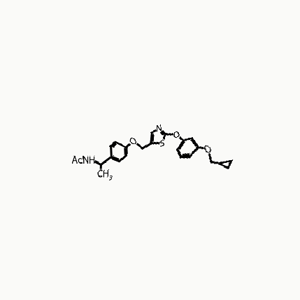 CC(=O)NC(C)c1ccc(OCc2cnc(Oc3cccc(OCC4CC4)c3)s2)cc1